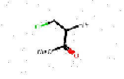 CCCC(CCl)C(=O)OC